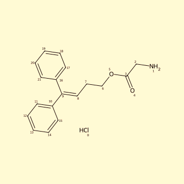 Cl.NCC(=O)OCCC=C(c1ccccc1)c1ccccc1